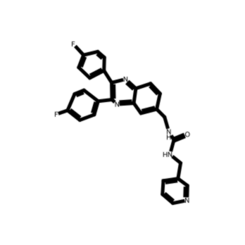 O=C(NCc1cccnc1)NCc1ccc2nc(-c3ccc(F)cc3)c(-c3ccc(F)cc3)nc2c1